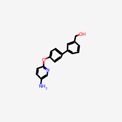 Nc1ccc(Oc2ccc(-c3cccc(CO)c3)cc2)nc1